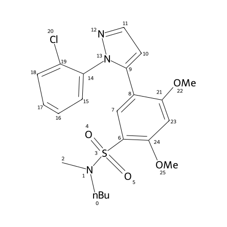 CCCCN(C)S(=O)(=O)c1cc(-c2ccnn2-c2ccccc2Cl)c(OC)cc1OC